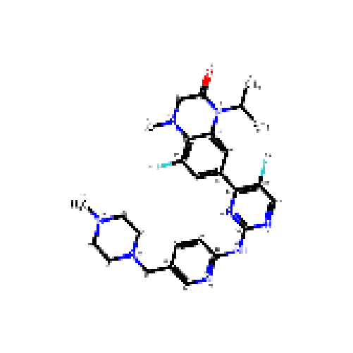 CC(C)N1C(=O)CN(C)c2c(F)cc(-c3nc(Nc4ccc(CN5CCN(C)CC5)cn4)ncc3F)cc21